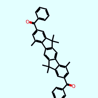 Cc1cc(C(=O)c2ccccc2)cc2c1-c1cc3c(cc1C2(C)C)-c1c(C)cc(C(=O)c2ccccc2)cc1C3(C)C